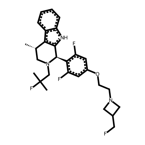 C[C@H]1CN(CC(C)(C)F)[C@H](c2c(F)cc(OCCN3CC(CF)C3)cc2F)c2[nH]c3ccccc3c21